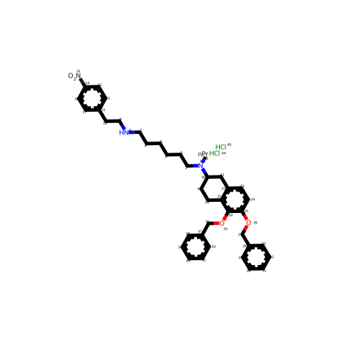 CCCN(CCCCCCNCCc1ccc([N+](=O)[O-])cc1)C1CCc2c(ccc(OCc3ccccc3)c2OCc2ccccc2)C1.Cl.Cl